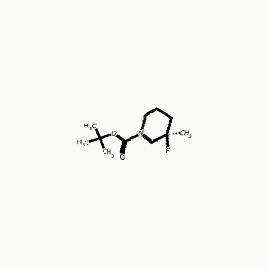 CC(C)(C)OC(=O)N1CCC[C@@](C)(F)C1